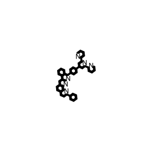 c1ccc(-c2ccc3ccc4cc5c(nc(-c6ccc(-c7cc(-c8ccccn8)nc(-c8ccccn8)c7)cc6)c6ccccc65)nc4c3n2)cc1